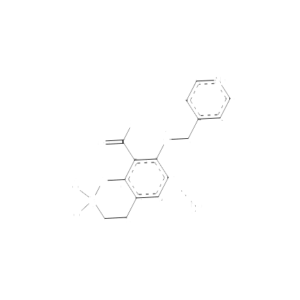 O=C([O-])c1c(OCc2ccncc2)ccc2c1O[B-](O)(O)CC2.[Na+].[Na+]